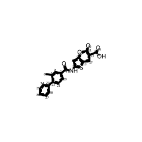 Cc1cc(C(=O)Nc2cc3oc(=O)c(C(=O)O)cc3s2)ccc1-c1ccccc1